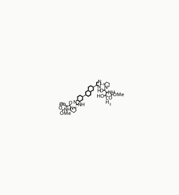 CC[C@H](C)[C@H](NC(=O)OC)C(=O)N1CCC[C@H]1c1nc2ccc(-c3ccc4cc(-c5cnc([C@@H]6CCCN6C(=O)[C@@H](NC(=O)OC)[C@@H](C)O)[nH]5)ccc4c3)cc2[nH]1